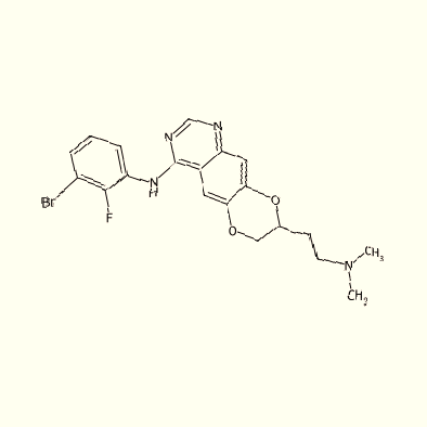 CN(C)CCC1COc2cc3c(Nc4cccc(Br)c4F)ncnc3cc2O1